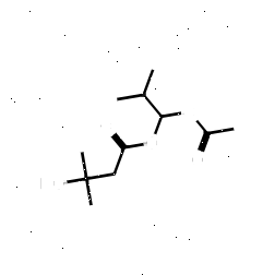 CC(=O)OC(OC(=O)CC(C)(C)O)C(C)C